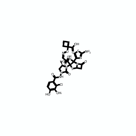 C[C@@H]1CN(NC(=O)c2ccc(O)c(O)c2Cl)C(=O)N1C1(C(=O)O)SC2CC(=O)N2C1(NC(=O)/C=N\OC1(C(=O)O)CCC1)c1csc(N)n1